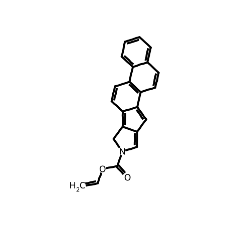 C=COC(=O)N1C=C2C=c3c(ccc4c3ccc3ccccc34)=C2C1